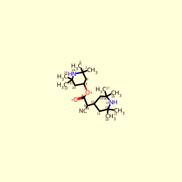 CC1(C)CC(OC(=O)C(C#N)C2CC(C)(C)NC(C)(C)C2)CC(C)(C)N1